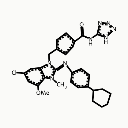 COc1cc(Cl)cc2c1n(C)c(=Nc1ccc(C3CCCCC3)cc1)n2Cc1ccc(C(=O)Nc2nnn[nH]2)cc1